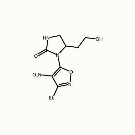 CCc1noc(N2C(=O)NCC2CCO)c1[N+](=O)[O-]